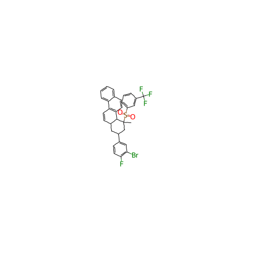 CC1(S(=O)(=O)c2cccc(C(F)(F)F)c2)CC(c2ccc(F)c(Br)c2)CC2C=Cc3c(ccc4ccccc34)C21